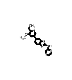 CCc1ncc(-c2ccc3nc(Nc4cnccn4)sc3c2)cc1OC